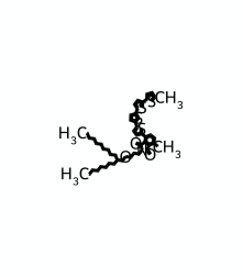 CCCCCCCCCCC(CCCCCCCC)COCCCN1C(=O)c2c(C)ccc(-c3ccc(-c4ccc(-c5ccc(-c6ccc(C)s6)s5)s4)s3)c2C1=O